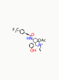 C=CC[N@@+]1(C)CC[C@@]2(c3cccc(O)c3)C[C@@H](NC(=O)C#Cc3ccc(C(F)(F)F)cc3)CCC2(OC(C)=O)C1